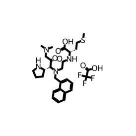 CSCC[C@H](NC(=O)CN(Cc1cccc2ccccc12)C(C(=O)CN(C)C)[C@@H]1CCCN1)C(=O)O.O=C(O)C(F)(F)F